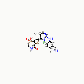 CN1CCS(=O)(=O)c2cc(-c3nc(Nc4cc5c(cc4F)CNC5)ncc3C(F)(F)F)sc2C1=O